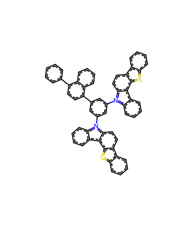 c1ccc(-c2ccc(-c3cc(-n4c5ccccc5c5c6sc7ccccc7c6ccc54)cc(-n4c5ccccc5c5c6sc7ccccc7c6ccc54)c3)c3ccccc23)cc1